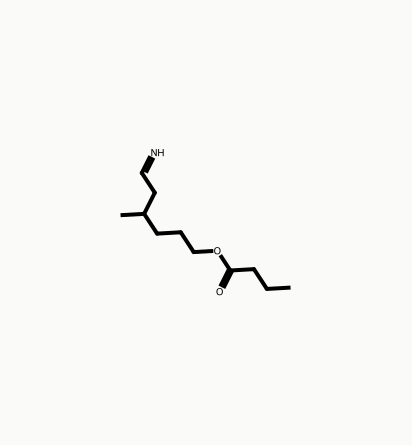 CCCC(=O)OCCCC(C)CC=N